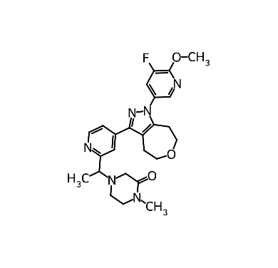 COc1ncc(-n2nc(-c3ccnc(C(C)N4CCN(C)C(=O)C4)c3)c3c2CCOCC3)cc1F